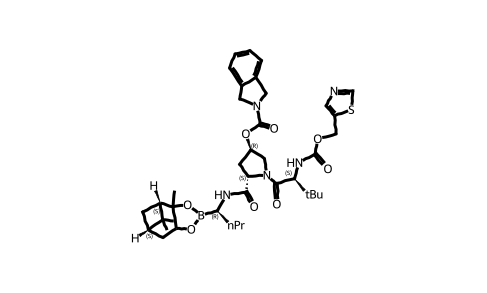 CCC[C@H](NC(=O)[C@@H]1C[C@@H](OC(=O)N2Cc3ccccc3C2)CN1C(=O)[C@@H](NC(=O)OCc1cncs1)C(C)(C)C)B1OC2C[C@@H]3C[C@H](C2(C)O1)C3(C)C